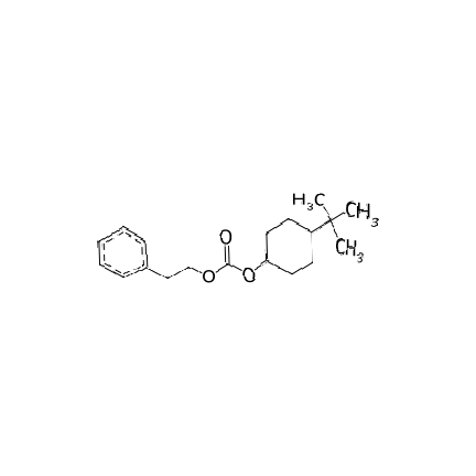 CC(C)(C)C1CCC(OC(=O)OCCc2ccccc2)CC1